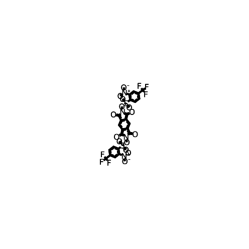 O=c1c2cc3c(=O)n(OS(=O)(=O)c4ccc(C(F)(F)F)cc4[N+](=O)[O-])c(=O)c3cc2c(=O)n1OS(=O)(=O)c1ccc(C(F)(F)F)cc1[N+](=O)[O-]